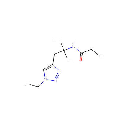 CC(C)CC(=O)NC(C)(C)Cc1cn(CC(C)(C)C)nn1